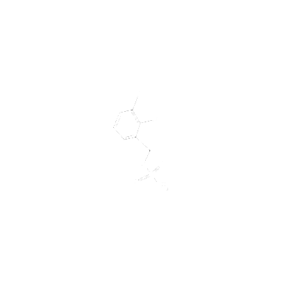 CS(=O)(=O)OCc1cccc(F)c1F